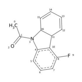 CC(=O)N1c2cccc(F)c2C2C=CC=CC21